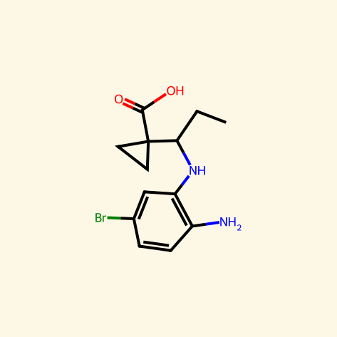 CCC(Nc1cc(Br)ccc1N)C1(C(=O)O)CC1